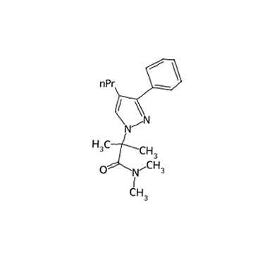 CCCc1cn(C(C)(C)C(=O)N(C)C)nc1-c1ccccc1